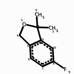 CC1(C)OCc2ccc(F)cc21